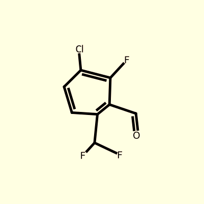 O=Cc1c(C(F)F)ccc(Cl)c1F